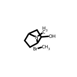 CBr.CN1C2CCC1C(O)C2